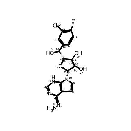 NN=c1nc[nH]c2c1ccn2[C@@H]1O[C@H](C(O)c2ccc(F)c(Cl)c2)[C@@H](O)[C@H]1O